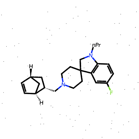 CCCN1CC2(CCN(C[C@H]3C[C@H]4C=C[C@H]3C4)CC2)c2cc(F)ccc21